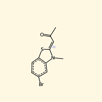 CC(=O)/C=C1\Sc2ccc(Br)cc2N1C